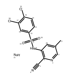 Cc1cnc(C#N)c(NS(=O)(=O)c2ccc(Cl)c(Cl)c2)c1.[NaH]